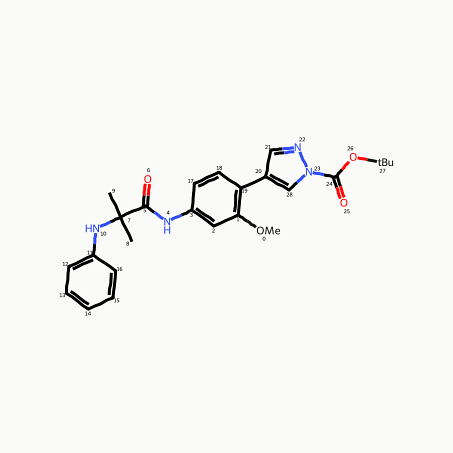 COc1cc(NC(=O)C(C)(C)Nc2ccccc2)ccc1-c1cnn(C(=O)OC(C)(C)C)c1